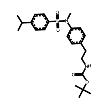 CC(C)c1ccc(S(=O)(=O)N(C)c2ccc(CCNC(=O)OC(C)(C)C)cc2)cc1